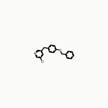 Clc1cncc([CH]c2ccc(OCc3ccccc3)cc2)c1